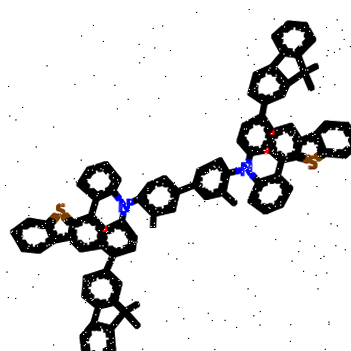 Cc1cc(-c2ccc(N(c3ccc(-c4ccc5c(c4)C(C)(C)c4ccccc4-5)cc3)c3ccccc3-c3cccc4c3sc3ccccc34)c(C)c2)ccc1N(c1ccc(-c2ccc3c(c2)C(C)(C)c2ccccc2-3)cc1)c1ccccc1-c1cccc2c1sc1ccccc12